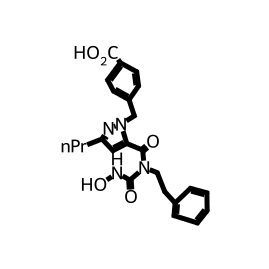 CCCc1cc(C(=O)N(CCc2ccccc2)C(=O)NO)n(Cc2ccc(C(=O)O)cc2)n1